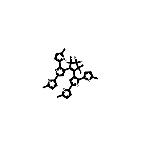 Cc1ccc(-c2cc(C3=C(c4cc(-c5ccc(C)s5)sc4-c4ccc(C)s4)C(F)(F)C(F)(F)C3(F)F)c(-c3ccc(C)s3)s2)s1